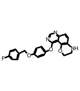 Fc1ccc(COc2ccc(Oc3ncnc4ccc5c(c34)OCCN5)cc2)cc1